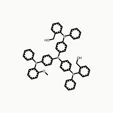 COc1ccccc1N(c1ccccc1)c1ccc(N(c2ccc(N(c3ccccc3)c3ccccc3CO)cc2)c2ccc(N(c3ccccc3)c3ccccc3CO)cc2)cc1